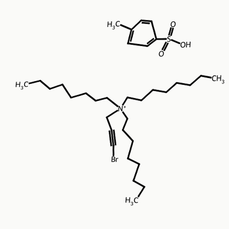 CCCCCCCC[N+](CC#CBr)(CCCCCCCC)CCCCCCCC.Cc1ccc(S(=O)(=O)O)cc1